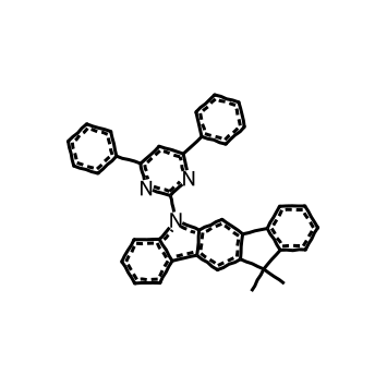 CC1(C)c2ccccc2-c2cc3c(cc21)c1ccccc1n3-c1nc(-c2ccccc2)cc(-c2ccccc2)n1